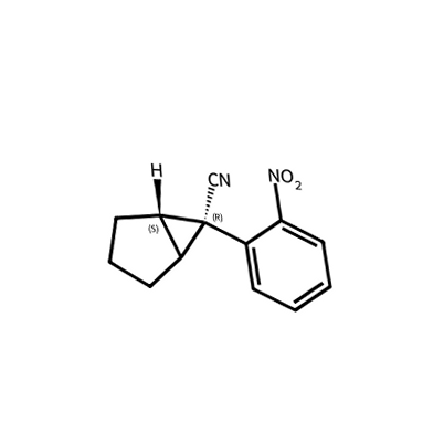 N#C[C@]1(c2ccccc2[N+](=O)[O-])C2CCC[C@@H]21